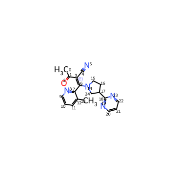 CC(=O)/C(C#N)=C(\c1ncccc1C)N1CCC(c2ncccn2)C1